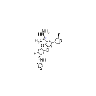 C/C(=C\NN)c1cc(-c2ccnc(F)c2)ncc1Oc1cc(F)c(SNc2cscn2)cc1Cl